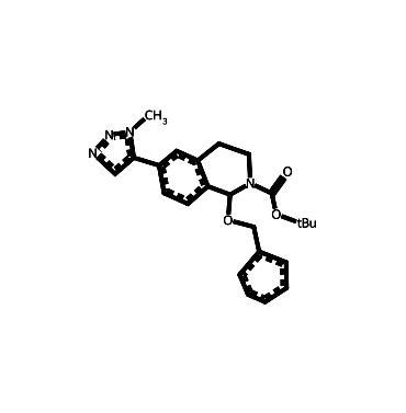 Cn1nncc1-c1ccc2c(c1)CCN(C(=O)OC(C)(C)C)C2OCc1ccccc1